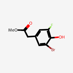 COC(=O)Cc1cc(F)c(O)c(Br)c1